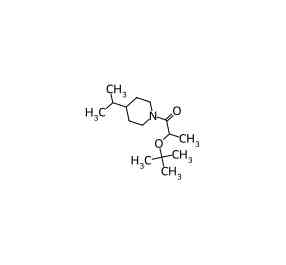 CC(OC(C)(C)C)C(=O)N1CCC(C(C)C)CC1